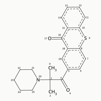 CC(C)(C(=O)c1ccc2sc3ccccc3c(=O)c2c1)N1CCCCC1